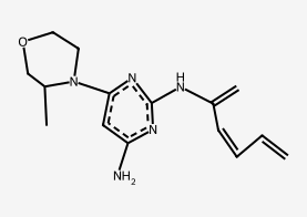 C=C/C=C\C(=C)Nc1nc(N)cc(N2CCOCC2C)n1